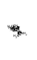 CC(C)C(OCC1(COc2cc(N)nc(N)n2)CC1)(C(C)C)P(=O)(O)O